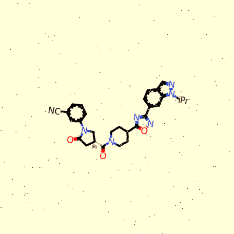 CC(C)n1ncc2ccc(-c3noc(C4CCN(C(=O)[C@@H]5CC(=O)N(c6cccc(C#N)c6)C5)CC4)n3)cc21